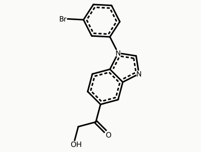 O=C(CO)c1ccc2c(c1)ncn2-c1cccc(Br)c1